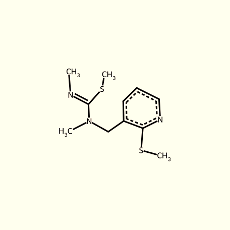 CN=C(SC)N(C)Cc1cccnc1SC